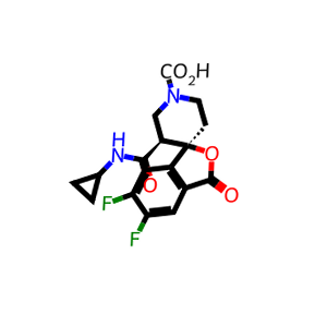 O=C1O[C@@]2(CCN(C(=O)O)C[C@@H]2C(=O)NC2CC2)c2cc(F)c(F)cc21